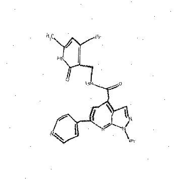 Cc1cc(C(C)C)c(CNC(=O)c2cc(-c3ccncc3)nc3c2cnn3C(C)C)c(=O)[nH]1